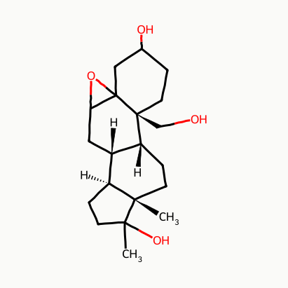 CC1(O)CC[C@H]2[C@@H]3CC4OC45CC(O)CC[C@]5(CO)[C@@H]3CC[C@@]21C